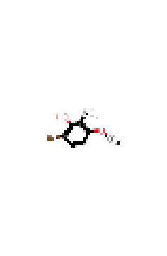 O=[N+]([O-])c1c(OC(F)(F)F)ccc(Br)c1O